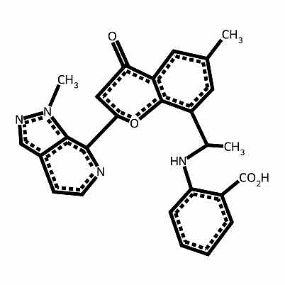 Cc1cc(C(C)Nc2ccccc2C(=O)O)c2oc(-c3nccc4cnn(C)c34)cc(=O)c2c1